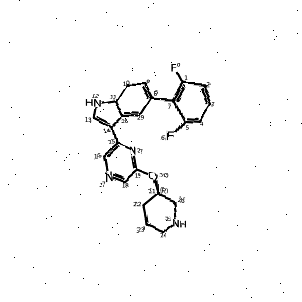 Fc1cccc(F)c1C1=CCC2NC=C(c3cncc(O[C@@H]4CCCNC4)n3)C2=C1